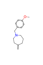 C=C1CCCN(Cc2ccc(OC)cc2)CC1